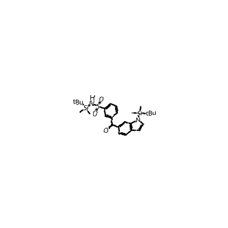 CC(C)(C)[Si](C)(C)NS(=O)(=O)c1cccc(C(=O)c2ccc3ccn([Si](C)(C)C(C)(C)C)c3c2)c1